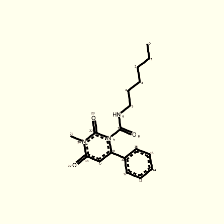 CCCCCCNC(=O)n1c(-c2ccccc2)cc(=O)n(C)c1=O